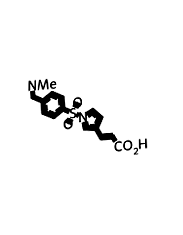 CNCc1ccc(S(=O)(=O)n2ccc(/C=C/C(=O)O)c2)cc1